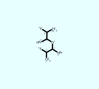 CCCC(OC(CCC)C(F)C(F)(F)F)C(F)C(F)(F)F